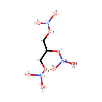 ON(O)OCC(CON(O)O)ON(O)O